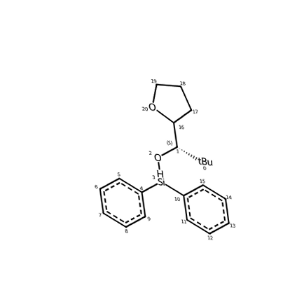 CC(C)(C)[C@H](O[SiH](c1ccccc1)c1ccccc1)C1CCCO1